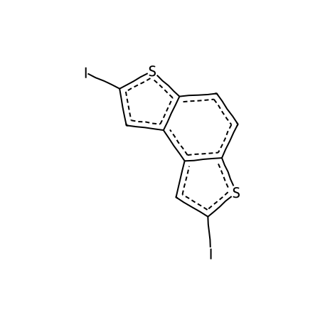 Ic1cc2c(ccc3sc(I)cc32)s1